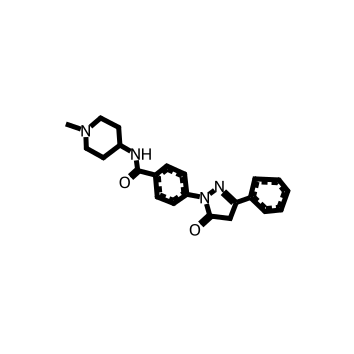 CN1CCC(NC(=O)c2ccc(N3N=C(c4ccccc4)CC3=O)cc2)CC1